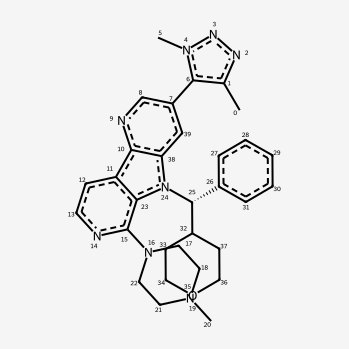 Cc1nnn(C)c1-c1cnc2c3ccnc(N4CCN(C)CC4)c3n([C@H](c3ccccc3)C3CCOCC3)c2c1